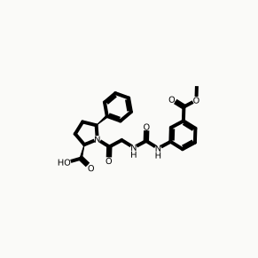 COC(=O)c1cccc(NC(=O)NCC(=O)N2[C@@H](C(=O)O)CC[C@H]2c2ccccc2)c1